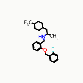 CC(CC1CCC(C(F)(F)F)CC1)NCc1ccccc1OCc1ccccc1F